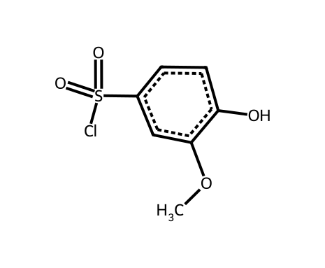 COc1cc(S(=O)(=O)Cl)ccc1O